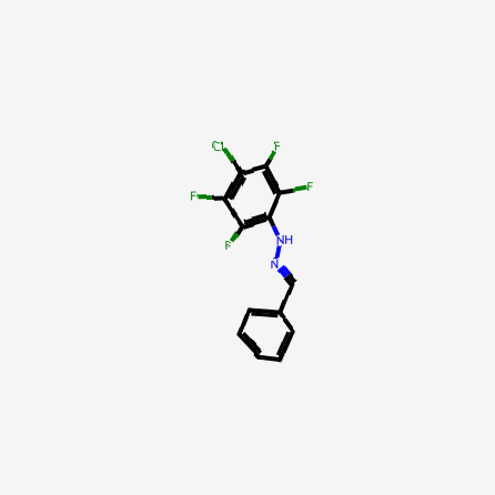 Fc1c(F)c(NN=Cc2ccccc2)c(F)c(F)c1Cl